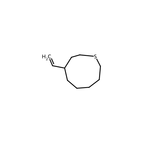 C=CC1CCCCCSCC1